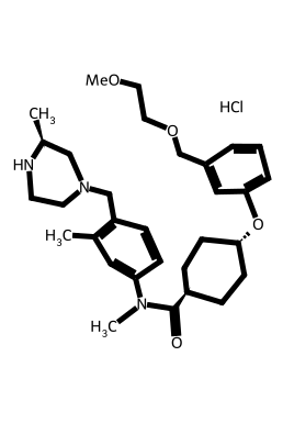 COCCOCc1cccc(O[C@H]2CC[C@H](C(=O)N(C)c3ccc(CN4CCN[C@@H](C)C4)c(C)c3)CC2)c1.Cl